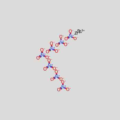 O=[N+]([O-])[O-].O=[N+]([O-])[O-].O=[N+]([O-])[O-].O=[N+]([O-])[O-].O=[N+]([O-])[O-].O=[N+]([O-])[O-].O=[N+]([O-])[O-].[Pr+3].[Zr+4]